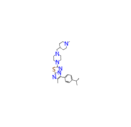 Cc1nc2sc(N3CCN(CC4CCN(C)CC4)CC3)nn2c1-c1ccc(C(C)C)cc1